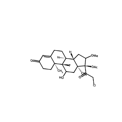 COC1C[C@H]2[C@@H]3CCC4=CC(=O)CC[C@]4(C)[C@@]3(F)C(O)C[C@]2(C)[C@@]1(OC(C)=O)C(=O)CCl